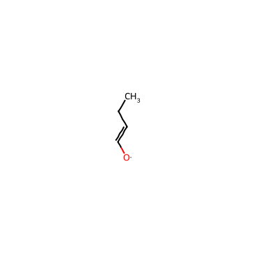 CC/C=C/[O]